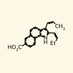 C/C=C\c1c(/C=C\CC)[nH]c2c1ccc1cc(C(=O)O)ccc12